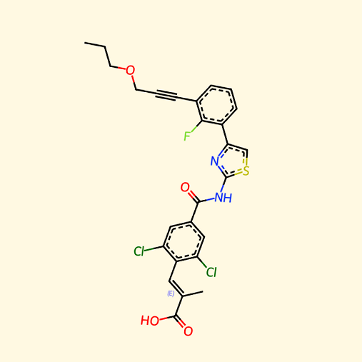 CCCOCC#Cc1cccc(-c2csc(NC(=O)c3cc(Cl)c(/C=C(\C)C(=O)O)c(Cl)c3)n2)c1F